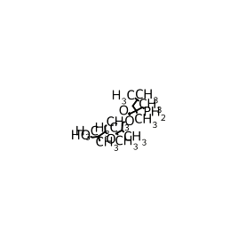 CCC(OC(C)(C)C(C)COC(=O)C(C)(CP)CC(C)(C)C)C(C)(C)CO